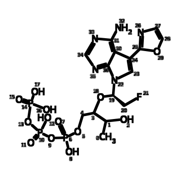 CC(O)C(COP(=O)(O)OP(=O)(O)OP(=O)(O)O)O[C@H](CF)n1cc(-c2ncco2)c2c(N)ncnc21